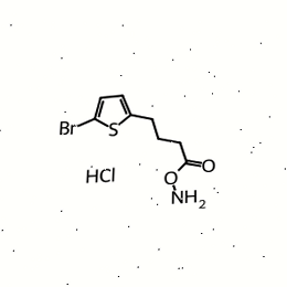 Cl.NOC(=O)CCCc1ccc(Br)s1